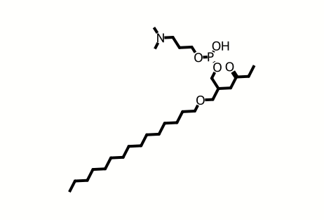 CCCCCCCCCCCCCCCOCC(COP(O)OCCCN(C)C)CC(=O)CC